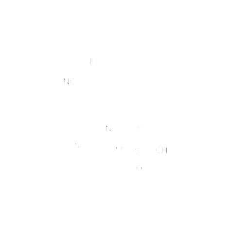 Cc1ccccc1/C(C#N)=C1/C=CS/C1=N\OS(C)(=O)=O